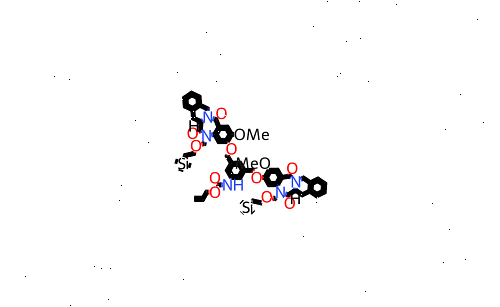 C=CCOC(=O)Nc1cc(COc2cc3c(cc2OC)C(=O)N2Cc4ccccc4C[C@H]2C(=O)N3COCC[Si](C)(C)C)cc(COc2cc3c(cc2OC)C(=O)N2Cc4ccccc4C[C@H]2C(=O)N3COCC[Si](C)(C)C)c1